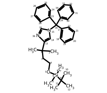 CC(C)(CCO[Si](C)(C)C(C)(C)C)c1cn(C(c2ccccc2)(c2ccccc2)c2ccccc2)cn1